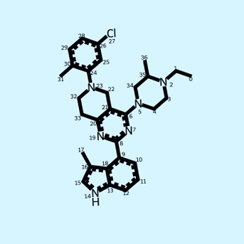 CCN1CCN(c2nc(-c3cccc4[nH]cc(C)c34)nc3c2CN(c2cc(Cl)ccc2C)CC3)CC1C